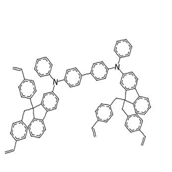 C=Cc1ccc(CC2(Cc3ccc(C=C)cc3)c3ccccc3-c3ccc(N(c4ccccc4)c4ccc(-c5ccc(N(c6ccccc6)c6ccc7c(c6)C(Cc6ccc(C=C)cc6)(c6ccc(C=C)cc6)c6ccccc6-7)cc5)cc4)cc32)cc1